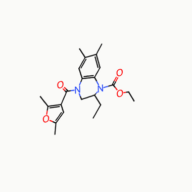 CCOC(=O)N1c2cc(C)c(C)cc2N(C(=O)c2cc(C)oc2C)CC1CC